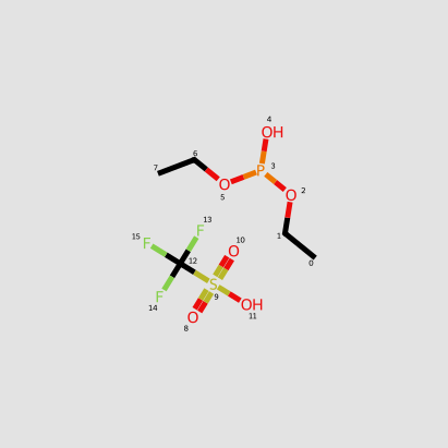 CCOP(O)OCC.O=S(=O)(O)C(F)(F)F